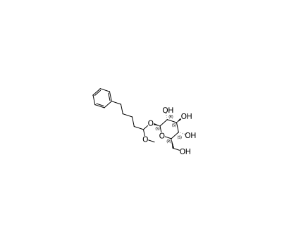 COC(CCCCc1ccccc1)O[C@@H]1O[C@H](CO)[C@@H](O)[C@H](O)[C@H]1O